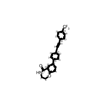 O=C1NCCOc2ccc(-c3ccc(C#Cc4ccc(C(F)(F)F)cc4)cc3)cc21